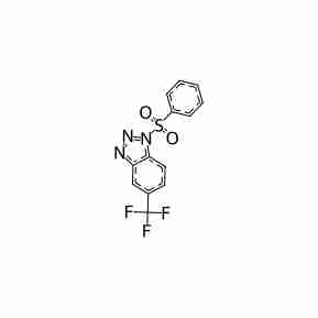 O=S(=O)(c1ccccc1)n1nnc2cc(C(F)(F)F)ccc21